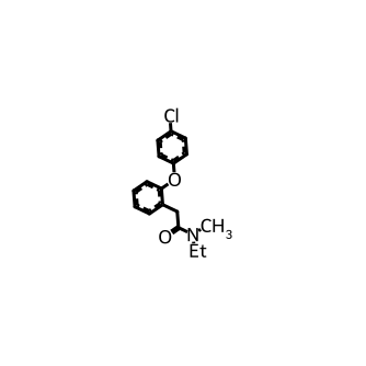 CCN(C)C(=O)Cc1ccccc1Oc1ccc(Cl)cc1